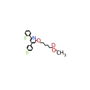 CCOC(=O)CCCCCOc1cc(-c2ccc(F)cc2)cc(-c2ccccc2F)n1